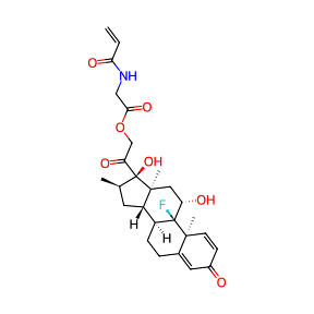 C=CC(=O)NCC(=O)OCC(=O)[C@@]1(O)[C@H](C)C[C@H]2[C@@H]3CCC4=CC(=O)C=C[C@]4(C)[C@@]3(F)[C@@H](O)C[C@@]21C